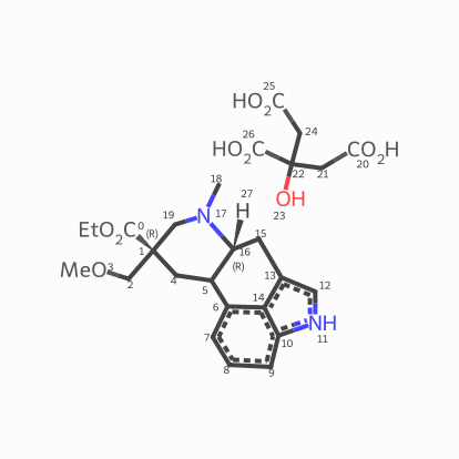 CCOC(=O)[C@]1(COC)CC2c3cccc4[nH]cc(c34)C[C@H]2N(C)C1.O=C(O)CC(O)(CC(=O)O)C(=O)O